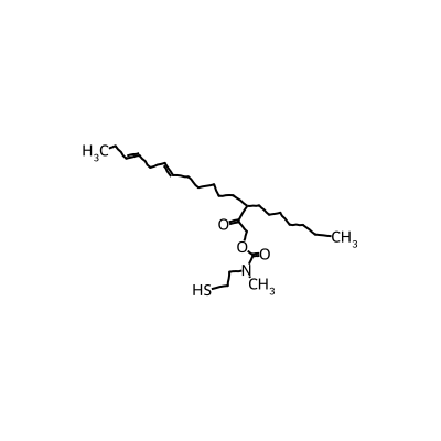 CCC=CCC=CCCCCCC(CCCCCCC)C(=O)COC(=O)N(C)CCS